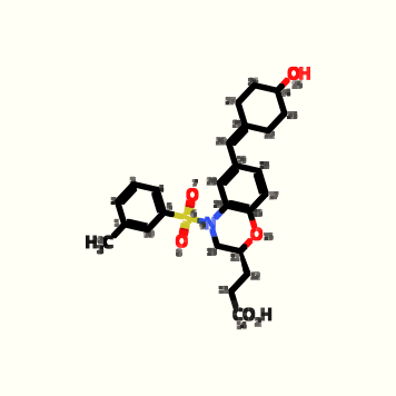 Cc1cccc(S(=O)(=O)N2C[C@H](CCC(=O)O)Oc3ccc(C=C4CCC(O)CC4)cc32)c1